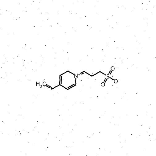 C=CC1=CC[N+](=CCCS(=O)(=O)[O-])C=C1